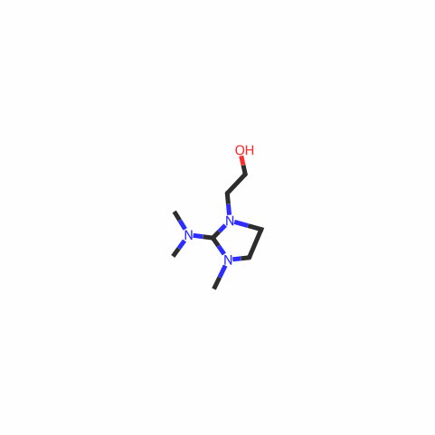 CN(C)C1N(C)CCN1CCO